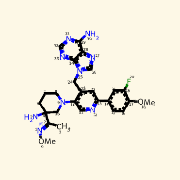 CO/N=C(\C)C1(N)CCCN(c2cnc(-c3ccc(OC)c(F)c3)cc2Cn2cnc3c(N)ncnc32)C1